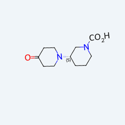 O=C1CCN([C@H]2CCCN(C(=O)O)C2)CC1